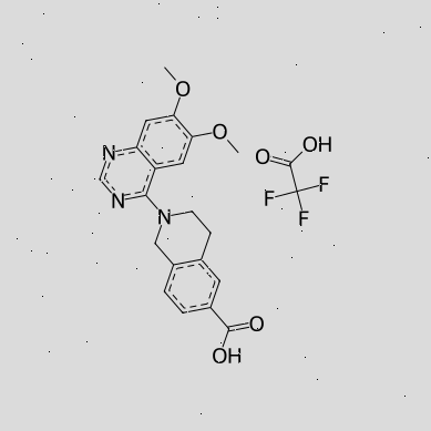 COc1cc2ncnc(N3CCc4cc(C(=O)O)ccc4C3)c2cc1OC.O=C(O)C(F)(F)F